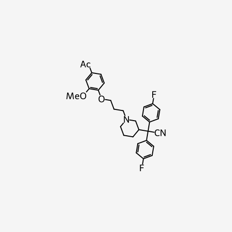 COc1cc(C(C)=O)ccc1OCCCN1CCCC(C(C#N)(c2ccc(F)cc2)c2ccc(F)cc2)C1